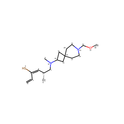 C=C/C(S)=C\[C@@H](CC)CN(C)C1CC2(CCN(COC(C)C)CC2)C1